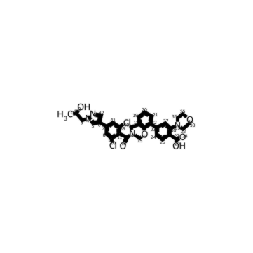 CC(O)Cn1cc(-c2cc(Cl)c(C(=O)N3COc4c(cccc4-c4ccc(C(=O)O)c(N5CCOCC5)c4)C3)c(Cl)c2)cn1